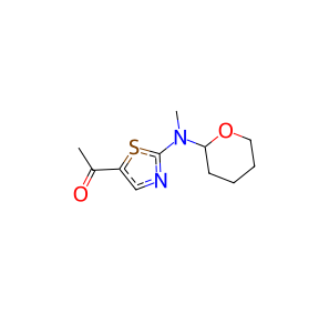 CC(=O)c1cnc(N(C)C2CCCCO2)s1